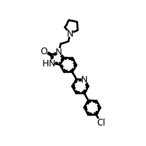 O=c1[nH]c2cc(-c3ccc(-c4ccc(Cl)cc4)cn3)ccc2n1CCN1CCCC1